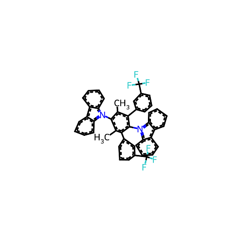 Cc1c(-c2cccc(C(F)(F)F)c2)c(-n2c3ccccc3c3ccccc32)c(-c2cccc(C(F)(F)F)c2)c(C)c1-n1c2ccccc2c2ccccc21